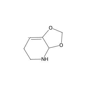 [C]1=C2OCOC2NCC1